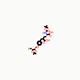 CC(C)(C)OC(=O)N[C@@H](CCC(Cc1ccc(OC[C@@H]2OC(C)(C)O[C@H]2CF)cc1)C(=O)O)C(=O)O